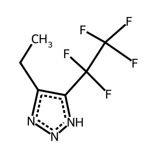 CCc1nn[nH]c1C(F)(F)C(F)(F)F